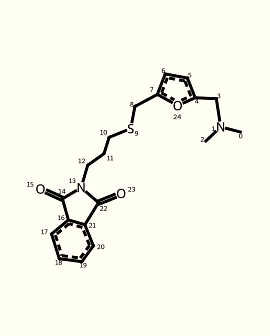 CN(C)Cc1ccc(CSCCCN2C(=O)c3ccccc3C2=O)o1